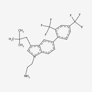 CC(C)(C)Cc1cn(CCN)c2ccc(-c3ccc(C(F)(F)F)cc3C(F)(F)F)cc12